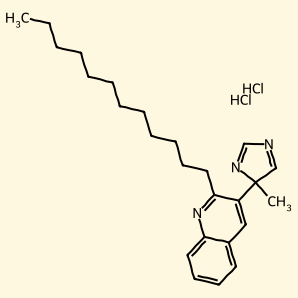 CCCCCCCCCCCCc1nc2ccccc2cc1C1(C)C=NC=N1.Cl.Cl